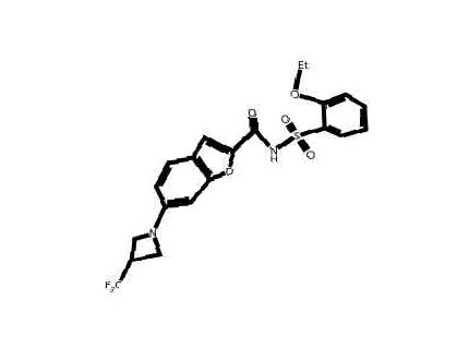 CCOc1ccccc1S(=O)(=O)NC(=O)c1cc2ccc(N3CC(C(F)(F)F)C3)cc2o1